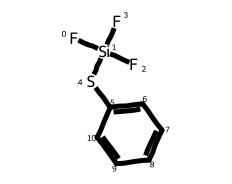 F[Si](F)(F)Sc1ccccc1